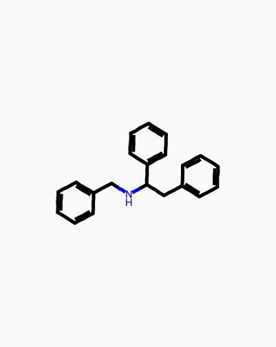 c1ccc(CNC(Cc2ccccc2)c2ccccc2)cc1